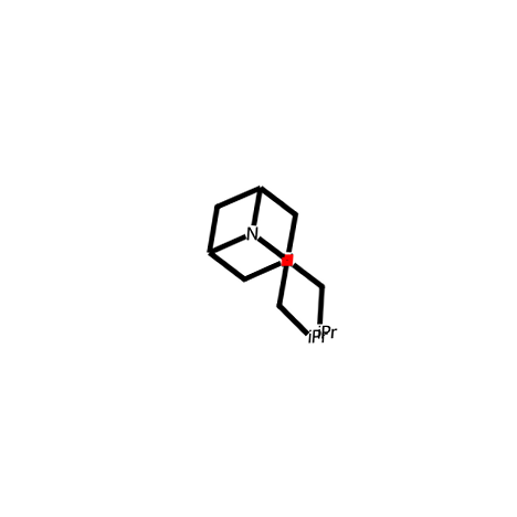 CC(C)CCN1C2CC1CN(CC(C)C)C2